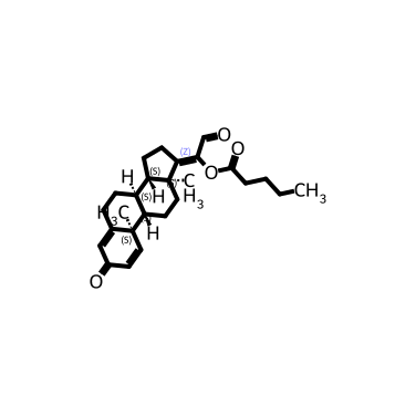 CCCCC(=O)O/C(C=O)=C1/CC[C@H]2[C@@H]3CCC4=CC(=O)C=C[C@]4(C)[C@H]3CC[C@]12C